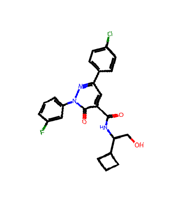 O=C(NC(CO)C1CCC1)c1cc(-c2ccc(Cl)cc2)nn(-c2cccc(F)c2)c1=O